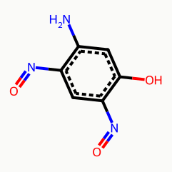 Nc1cc(O)c(N=O)cc1N=O